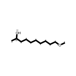 COCCCCCCCCC(C)O